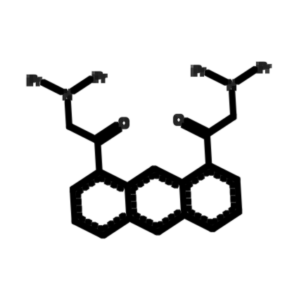 CC(C)N(CC(=O)c1cccc2cc3cccc(C(=O)CN(C(C)C)C(C)C)c3cc12)C(C)C